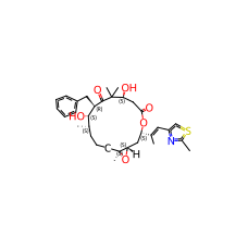 CC(=Cc1csc(C)n1)[C@@H]1C[C@@H]2O[C@@]2(C)CCC[C@H](C)[C@H](O)[C@@H](Cc2ccccc2)C(=O)C(C)(C)[C@@H](O)CC(=O)O1